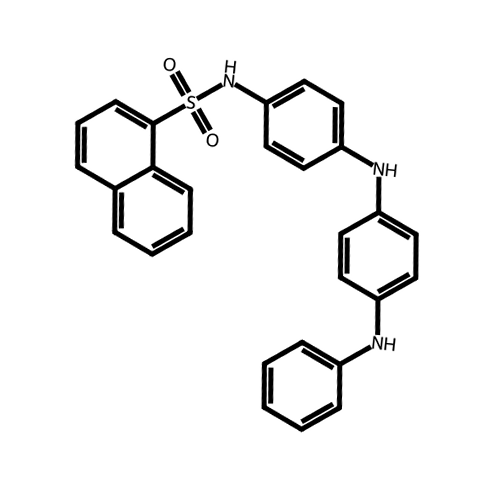 O=S(=O)(Nc1ccc(Nc2ccc(Nc3ccccc3)cc2)cc1)c1cccc2ccccc12